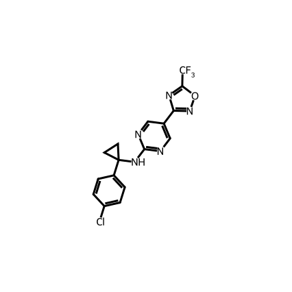 FC(F)(F)c1nc(-c2cnc(NC3(c4ccc(Cl)cc4)CC3)nc2)no1